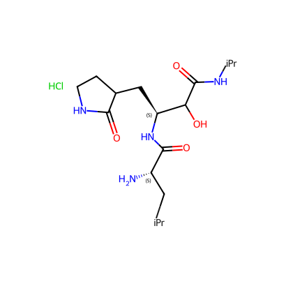 CC(C)C[C@H](N)C(=O)N[C@@H](CC1CCNC1=O)C(O)C(=O)NC(C)C.Cl